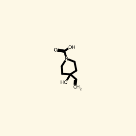 C=CC1(O)CCN(C(=O)O)CC1